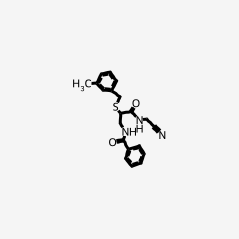 Cc1cccc(CSC(CNC(=O)c2ccccc2)C(=O)NCC#N)c1